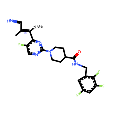 CN/C(=C(/C)C=N)c1nc(N2CCC(C(=O)NCc3cc(F)cc(F)c3F)CC2)ncc1F